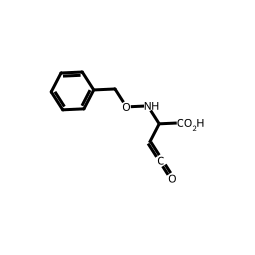 O=C=CC(NOCc1ccccc1)C(=O)O